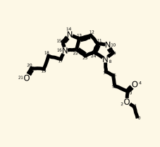 CCOC(=O)CCCn1cnc2cc3ncn(CCCC=O)c3cc21